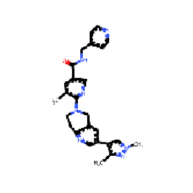 Cc1cc(C(=O)NCc2ccncc2)cnc1N1CCc2ncc(-c3cn(C)nc3C)cc2C1